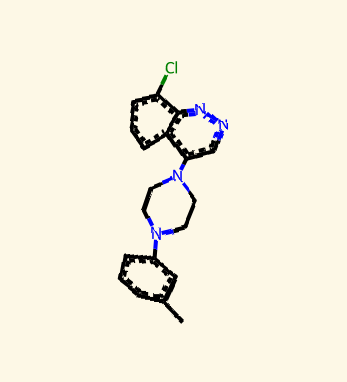 Cc1cccc(N2CCN(c3cnnc4c(Cl)cccc34)CC2)c1